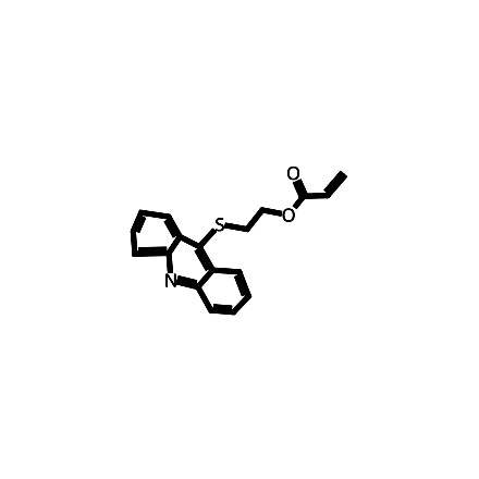 C=CC(=O)OCCSc1c2ccccc2nc2ccccc12